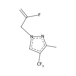 C=C(F)Cn1cc(C(F)(F)F)c(C)n1